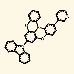 c1cncc(-c2ccc3c(c2)B2c4ccccc4Oc4cc(-n5c6ccccc6c6ccccc65)cc(c42)O3)c1